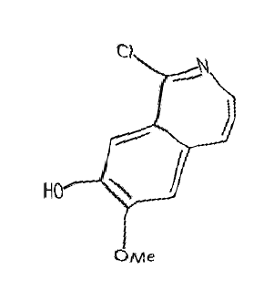 COc1cc2ccnc(Cl)c2cc1O